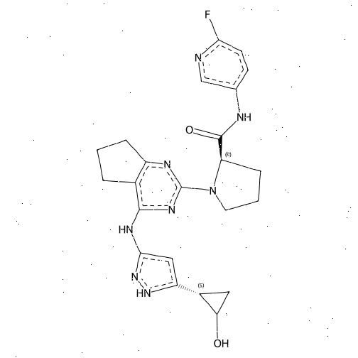 O=C(Nc1ccc(F)nc1)[C@H]1CCCN1c1nc2c(c(Nc3cc([C@@H]4CC4O)[nH]n3)n1)CCC2